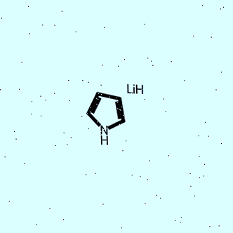 [LiH].c1cc[nH]c1